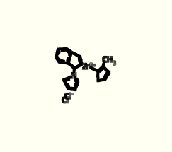 CC1=[C]([Zr+2][C]2=Cc3ccccc3C2n2cccc2)CC=C1.[Cl-].[Cl-]